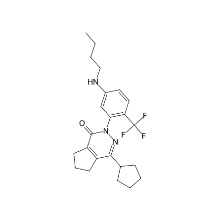 CCCCNc1ccc(C(F)(F)F)c(-n2nc(C3CCCC3)c3c(c2=O)CCC3)c1